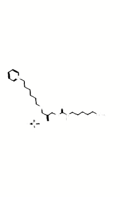 C=C(COCCCCCC[n+]1ccccc1)COC(=O)NCCCCCCCCCCCCCCC.CS(=O)(=O)[O-]